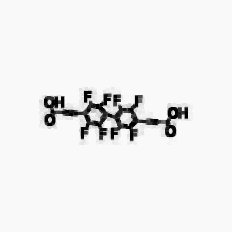 O=C(O)C#Cc1c(F)c(F)c(-c2c(F)c(F)c(C#CC(=O)O)c(F)c2F)c(F)c1F